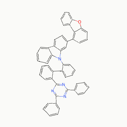 c1ccc(-c2nc(-c3ccccc3)nc(-c3ccccc3-c3ccccc3-n3c4ccccc4c4ccc(-c5cccc6oc7ccccc7c56)cc43)n2)cc1